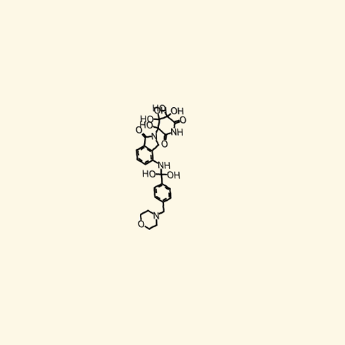 O=C1c2cccc(NC(O)(O)c3ccc(CN4CCOCC4)cc3)c2CN1C1(O)C(=O)NC(=O)C(O)(O)C1(O)O